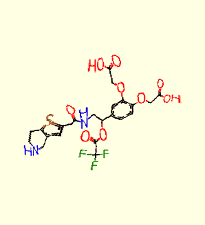 O=C(O)COc1ccc(C(CNC(=O)c2cc3c(s2)CCNC3)OC(=O)C(F)(F)F)cc1OCC(=O)O